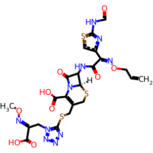 C=CCO/N=C(\C(=O)NC1C(=O)N2C(C(=O)O)=C(CSc3nnnn3C/C(=N\OC)C(=O)O)CS[C@H]12)c1csc(NC=O)n1